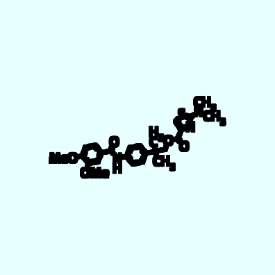 COc1ccc(C(=O)Nc2ccc(C(C)(C)COC(=O)c3csc(N(C)C)n3)cc2)cc1OC